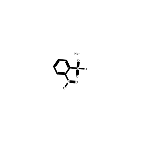 O=[N+]([O-])c1ccccc1S(=O)(=O)[O-].[Na+]